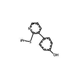 CC(C)Sc1ncccc1-c1ccc(O)cc1